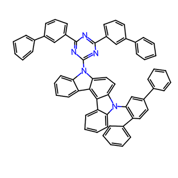 c1ccc(-c2cccc(-c3nc(-c4cccc(-c5ccccc5)c4)nc(-n4c5ccccc5c5c6c7ccccc7n(-c7cc(-c8ccccc8)ccc7-c7ccccc7)c6ccc54)n3)c2)cc1